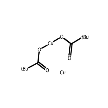 CC(C)(C)C(=O)[O][Cu][O]C(=O)C(C)(C)C.[Cu]